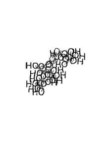 C=C1C[C@@]23CCC4[C@](C)(C(=O)O[C@@H]5OC(CO)[C@@H](O)[C@@H](O)C5O)CCC[C@@]4(C)[C@@H]2CC[C@]1(OC[C@@H]1OC(CO)[C@@H](O)[C@@H](COC[C@@H]2OC(CO)[C@@H](O)[C@@H](O)C2O)C1O[C@@H]1OC(CO)[C@@H](O)[C@@H](O)C1O)C3